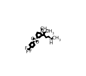 CNCCc1c(C)n(C)c2ccc(S(=O)(=O)c3ccc(C(F)(F)F)cc3)cc12